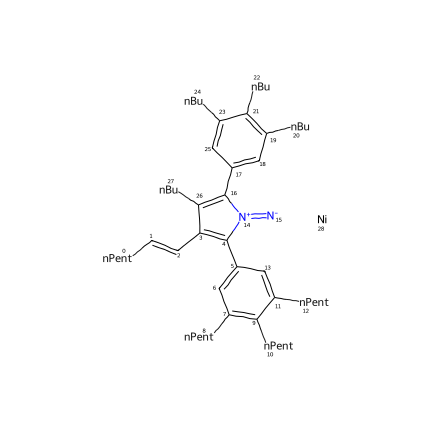 CCCCCC=CC1=C(c2cc(CCCCC)c(CCCCC)c(CCCCC)c2)[N+](=[N-])C(c2cc(CCCC)c(CCCC)c(CCCC)c2)=C1CCCC.[Ni]